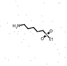 [CH2]CS(=O)(=O)CCCCCN